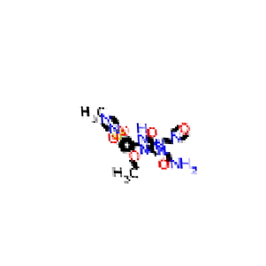 CCCOc1ccc(S(=O)(=O)N2CCN(C)CC2)cc1-c1nc2c(c(=O)[nH]1)N(CCN1CCOCC1)N(CC(N)=O)C2